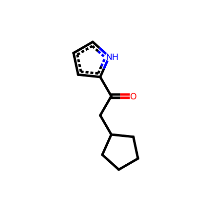 O=C(CC1CCCC1)c1ccc[nH]1